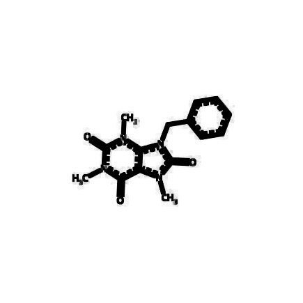 Cn1c(=O)c2c(n(C)c1=O)n(Cc1ccccc1)c(=O)n2C